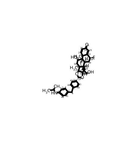 CC(C)Nc1ccc(Cc2ccc([C@H]3O[C@@H]4C[C@H]5[C@@H]6C[C@H](F)C7=CC(=O)C=C[C@]7(C)[C@@]6(F)[C@@H](O)C[C@]5(C)[C@]4(C(=O)CO)O3)cc2)cc1